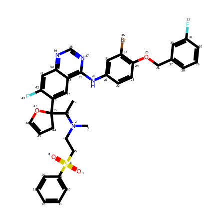 CC(N(C)CCS(=O)(=O)c1ccccc1)C1(c2cc3c(Nc4ccc(OCc5cccc(F)c5)c(Br)c4)ncnc3cc2F)CC=CO1